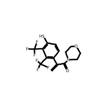 C=C(C(=O)N1CCOCC1)c1ccc(S)c(C(F)(F)F)c1C(F)(F)F